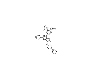 COc1ncc(-c2nc(N3CCOCC3)nc3c(OC4CCC(N5CCCCC5)CC4)c(C)sc23)cc1NS(C)(=O)=O